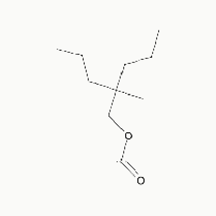 CCCC(C)(CCC)CO[C]=O